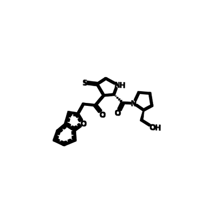 O=C(Cc1cc2ccccc2o1)C1C(=S)CN[C@@H]1C(=O)N1CCC[C@H]1CO